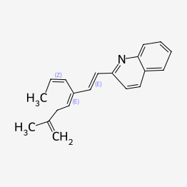 C=C(C)C/C=C(\C=C/C)/C=C/c1ccc2ccccc2n1